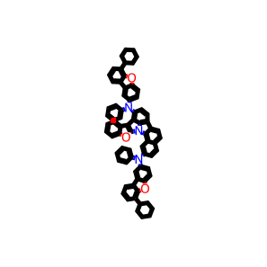 c1ccc(N(c2ccc3oc4c(C5CCCCC5)cccc4c3c2)c2ccc3ccc4c5ccc(N(c6ccccc6)c6ccc7oc8c(C9CCCCC9)cccc8c7c6)c6c7c8ccccc8oc7n(c4c3c2)c56)cc1